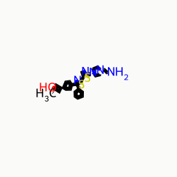 C[C@]1(O)C[C@H](c2ccc(-c3nc(-c4cnc(N5CCN(CCN)CC5)s4)sc3-c3ccccc3)cc2)C1